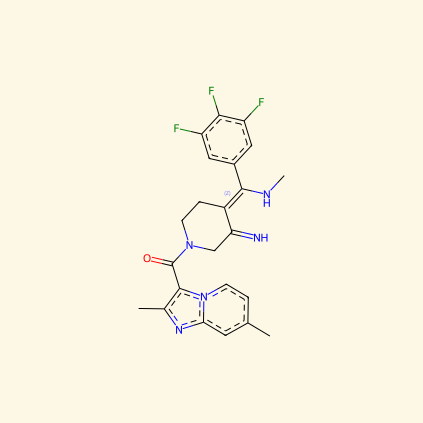 CN/C(=C1/CCN(C(=O)c2c(C)nc3cc(C)ccn23)CC1=N)c1cc(F)c(F)c(F)c1